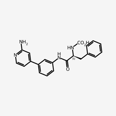 Nc1cc(-c2cccc(NC(=O)[C@H](Cc3ccccc3)NC(=O)O)c2)ccn1